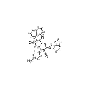 CN1CCN(C2=C(C#N)C(OCC34CCCN3CCC4)=NC3C=C(c4cccc5cccc(Cl)c45)C(Cl)=CC23)CC1